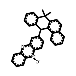 CC1(C)c2ccccc2C(c2ccc3c(c2)nc2ccccc2[p+]3[O-])c2c1ccc1ccccc21